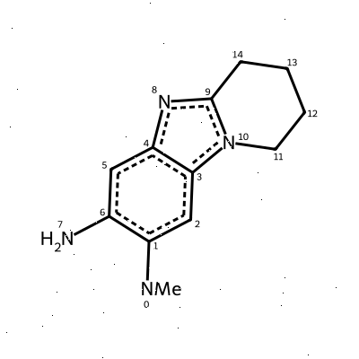 CNc1cc2c(cc1N)nc1n2CCCC1